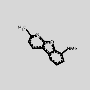 CNc1cccc2c1oc1nc(C)ccc12